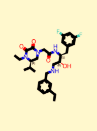 CCc1cccc(CNC[C@@H](O)[C@H](Cc2cc(F)cc(F)c2)NC(=O)CN2C[C@@H](C(C)C)N(CC)C(=O)C2=O)c1